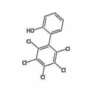 Oc1ccccc1-c1c(Cl)c(Cl)c(Cl)c(Cl)c1Cl